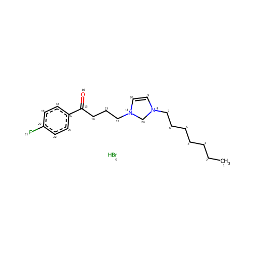 Br.CCCCCCCN1C=CN(CCCC(=O)c2ccc(F)cc2)C1